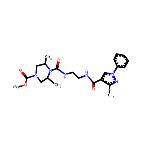 CC1CN(C(=O)OC(C)(C)C)CC(C)N1C(=O)NCCNC(=O)c1cn(-c2ccccc2)nc1C(F)(F)F